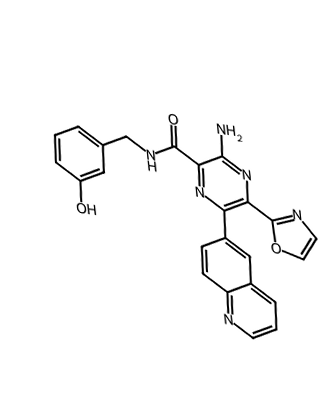 Nc1nc(-c2ncco2)c(-c2ccc3ncccc3c2)nc1C(=O)NCc1cccc(O)c1